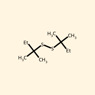 [CH2]CC(C)(C)SSC(C)(C)C[CH2]